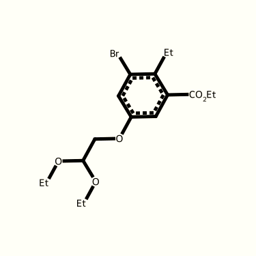 CCOC(=O)c1cc(OCC(OCC)OCC)cc(Br)c1CC